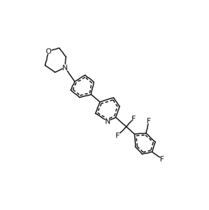 Fc1ccc(C(F)(F)c2ccc(-c3ccc(N4CCOCC4)cc3)cn2)c(F)c1